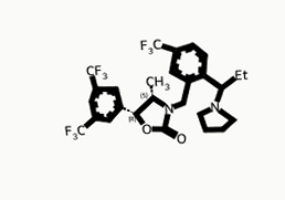 CCC(c1ccc(C(F)(F)F)cc1CN1C(=O)O[C@H](c2cc(C(F)(F)F)cc(C(F)(F)F)c2)[C@@H]1C)N1CCCC1